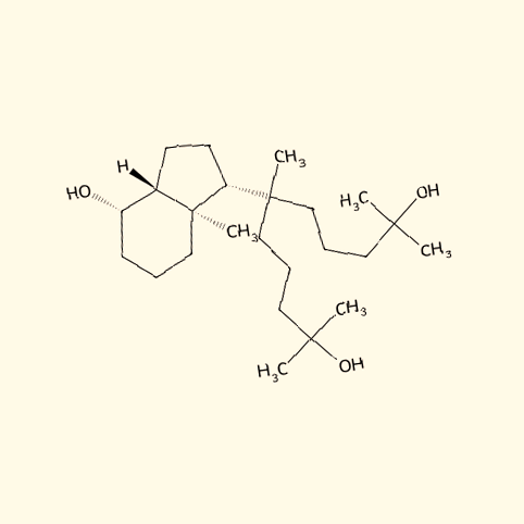 CC(C)(O)CCCC(C)(CCCC(C)(C)O)[C@H]1CC[C@H]2[C@@H](O)CCC[C@]12C